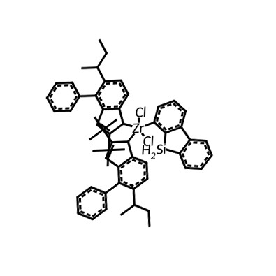 CCC(C)c1ccc2c(c1-c1ccccc1)C=C(C(C)(C)C)[CH]2[Zr]([Cl])([Cl])([c]1cccc2c1[SiH2]c1ccccc1-2)[CH]1C(C(C)(C)C)=Cc2c1ccc(C(C)CC)c2-c1ccccc1